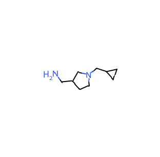 NCC1CCN(CC2CC2)C1